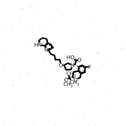 COC(C)(C)[C@@H]1Cc2c(cc(F)cc2[C@@H](C(=O)O)N2CC[C@@H](OCCCCc3ccc4c(n3)NCCC4)C2)CO1